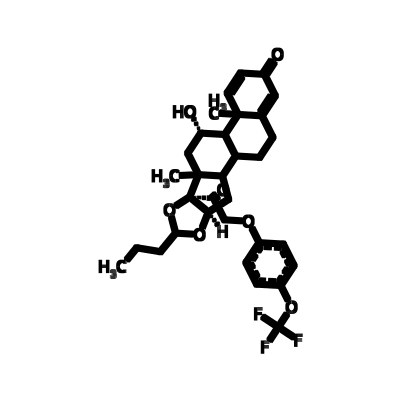 CCCC1O[C@@H]2CC3C4CCC5=CC(=O)C=CC5(C)C4[C@@H](O)CC3(C)[C@]2(C(=O)COc2ccc(OC(F)(F)F)cc2)O1